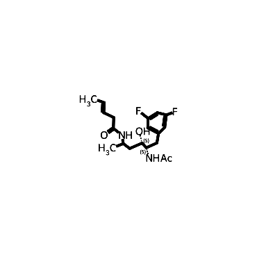 CC=CCC(=O)NC(C)C[C@H](O)[C@H](Cc1cc(F)cc(F)c1)NC(C)=O